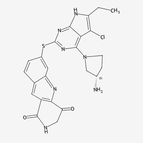 CCc1[nH]c2nc(Sc3ccc4cc5c(nc4c3)C(=O)CNC5=O)nc(N3CC[C@H](N)C3)c2c1Cl